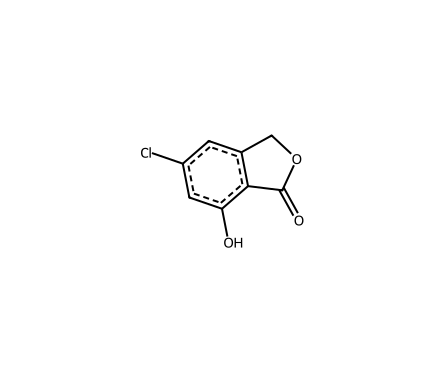 O=C1OCc2cc(Cl)cc(O)c21